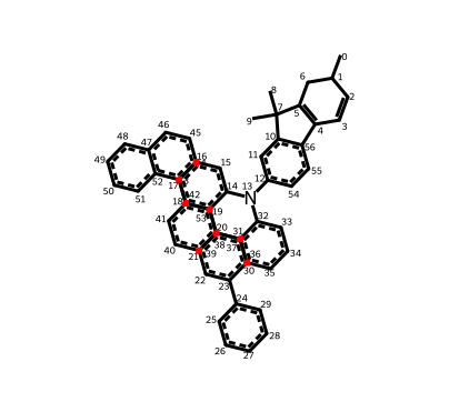 CC1C=CC2=C(C1)C(C)(C)c1cc(N(c3ccccc3-c3ccc(-c4ccccc4)cc3)c3ccccc3-c3cccc(-c4cccc5ccccc45)c3)ccc12